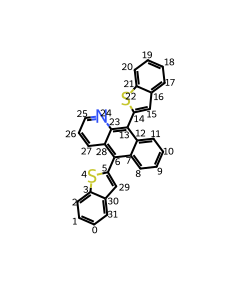 c1ccc2sc(-c3c4ccccc4c(-c4cc5ccccc5s4)c4ncccc34)cc2c1